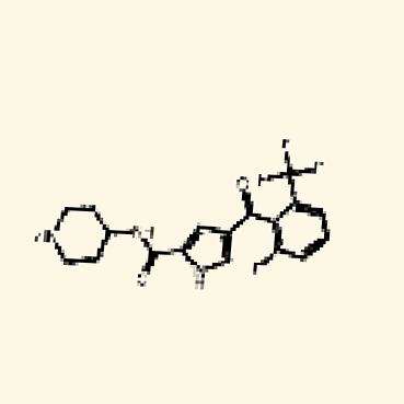 O=C(NC1CCNCC1)c1cc(C(=O)c2c(F)cccc2C(F)(F)F)c[nH]1